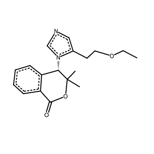 CCOCCc1cncn1[C@H]1c2ccccc2C(=O)OC1(C)C